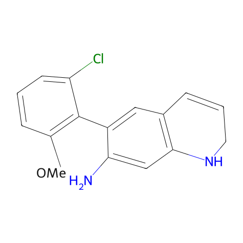 COc1cccc(Cl)c1-c1cc2c(cc1N)NCC=C2